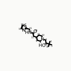 CC(C)(C)C(O)CN1CCC(CC(=O)NCc2nccs2)CC1